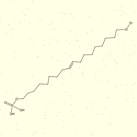 CCOCCCCCCCCC=CCCCCCCCCOP(=O)(O)O